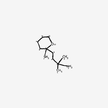 CC(C)(N)CCC1([SiH3])CCCCO1